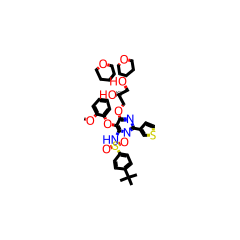 C1CCOCC1.C1CCOCC1.COc1ccccc1Oc1c(NS(=O)(=O)c2ccc(C(C)(C)C)cc2)nc(-c2ccsc2)nc1OC[C@@H](O)CO